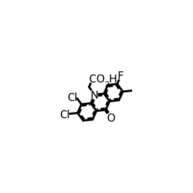 Cc1cc2c(=O)c3ccc(Cl)c(Cl)c3n(CC(=O)O)c2cc1F